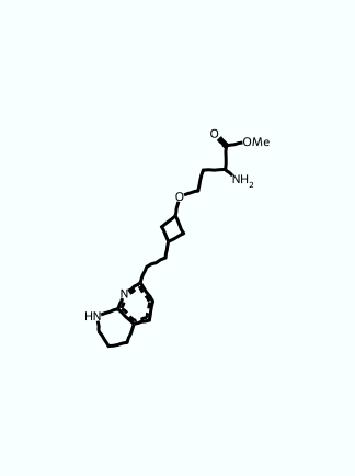 COC(=O)C(N)CCOC1CC(CCc2ccc3c(n2)NCCC3)C1